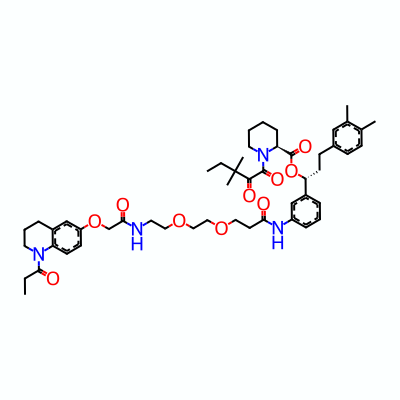 CCC(=O)N1CCCc2cc(OCC(=O)NCCOCCOCCC(=O)Nc3cccc([C@@H](CCc4ccc(C)c(C)c4)OC(=O)[C@@H]4CCCCN4C(=O)C(=O)C(C)(C)CC)c3)ccc21